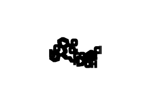 CCOC(=O)COC(=O)C1C=CC=C2Oc3ncccc3C(=CCCN3CCC(O)(c4ccc(Cl)cc4)CC3)C=C21